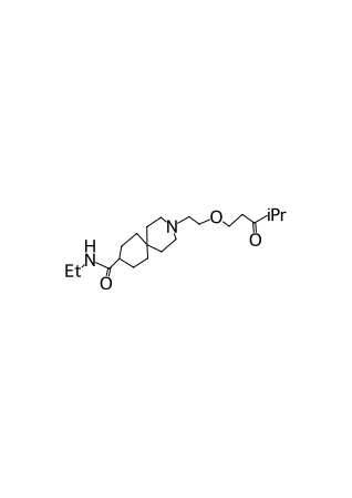 CCNC(=O)C1CCC2(CC1)CCN(CCOCCC(=O)C(C)C)CC2